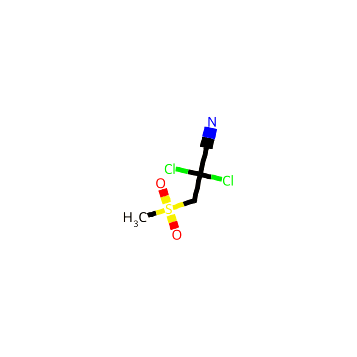 CS(=O)(=O)CC(Cl)(Cl)C#N